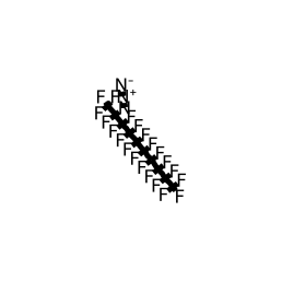 [N-]=[N+]=NC(F)(C(F)(F)F)C(F)(F)C(F)(F)C(F)(F)C(F)(F)C(F)(F)C(F)(F)C(F)(F)C(F)(F)F